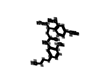 CCCCCC(CC(=O)Nc1cc(CCCO)ccc1C(C)(C)C)c1ccc(OC)cc1OC